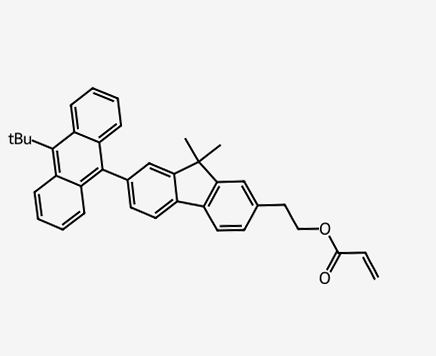 C=CC(=O)OCCc1ccc2c(c1)C(C)(C)c1cc(-c3c4ccccc4c(C(C)(C)C)c4ccccc34)ccc1-2